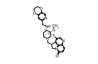 CO[C@@H]1CN(CC2Cn3c(=O)ccc4ncc(F)c2c43)CC[C@@H]1NCc1cc2c(cn1)OCCO2